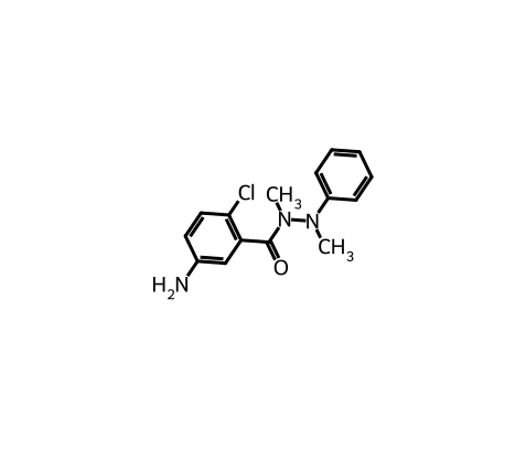 CN(C(=O)c1cc(N)ccc1Cl)N(C)c1ccccc1